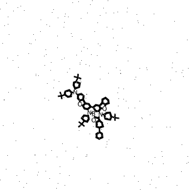 CC(C)(C)c1ccc(N2B3c4oc5cc(-c6ccccc6)ccc5c4N(c4ccc(C(C)(C)C)cc4)c4c3c(cc3c4oc4ccccc43)-c3cc4c(cc32)oc2cc(N(c3ccc(C(C)(C)C)cc3)c3ccc(C(C)(C)C)cc3)ccc24)cc1